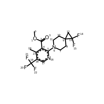 COC(=O)c1c(N2CCC3(CC2)CC3(F)F)ncc(C(F)(F)F)c1C